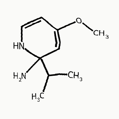 COC1=CC(N)(C(C)C)NC=C1